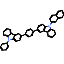 C1=Cc2c(n(-c3ccc4ccccc4c3)c3ccc(-c4ccc(-c5ccc6c(c5)c5ccccc5n6-c5ccccc5)cc4)cc23)CC1